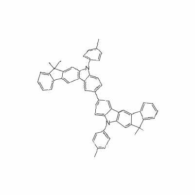 Cc1ccc(-n2c3ccc(-c4ccc5c(c4)c4cc6c(cc4n5-c4ccc(C)cc4)C(C)(C)c4ccccc4-6)cc3c3cc4c(cc32)C(C)(C)c2ccccc2-4)cc1